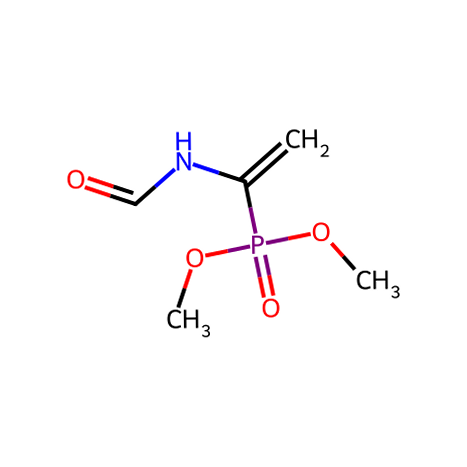 C=C(NC=O)P(=O)(OC)OC